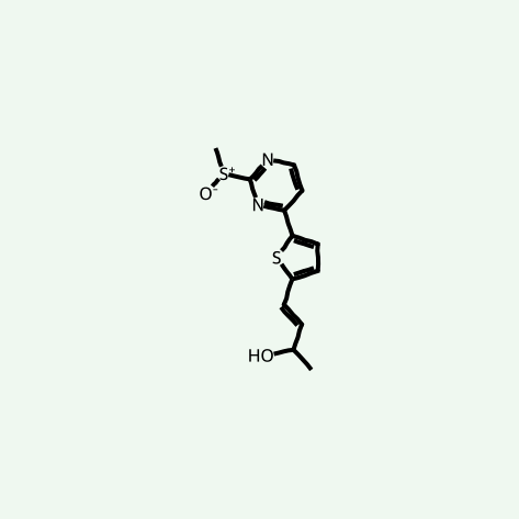 CC(O)/C=C/c1ccc(-c2ccnc([S+](C)[O-])n2)s1